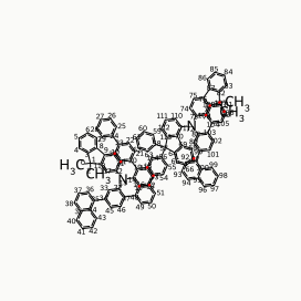 CC1(C)c2ccccc2-c2ccc(N(c3ccccc3-c3ccc(-c4ccccc4)cc3)c3cc(-c4cccc5ccccc45)ccc3-c3cccc(-c4ccc(C5(c6ccccc6)c6ccccc6-c6c(N(c7ccc8c(c7)C(C)(C)c7ccccc7-8)c7cc(-c8cccc9ccccc89)ccc7-c7ccccc7)cccc65)cc4)c3)cc21